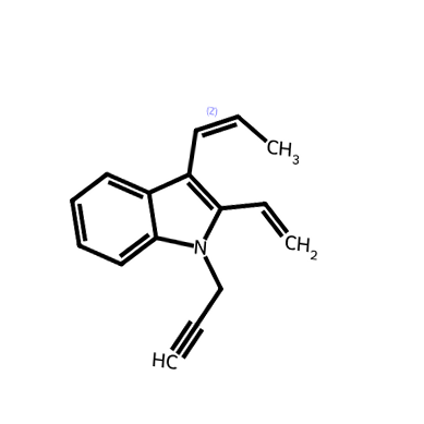 C#CCn1c(C=C)c(/C=C\C)c2ccccc21